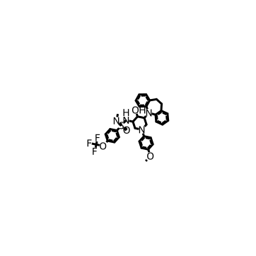 CN=S(=O)(NC1CN(c2ccc(OC)cc2)CC(N2c3ccccc3CCc3ccccc32)C1O)c1ccc(OC(F)(F)F)cc1